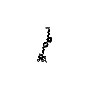 Cn1c(=O)cnn(CCCCN2CCN(c3cccc(CCCC[18F])c3)CC2)c1=O